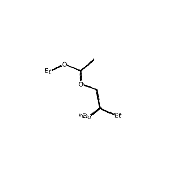 [CH2]COC(C)OCC(CC)CCCC